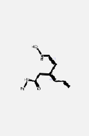 C=C/C=C(\C=C/NO)CC(=O)NCC